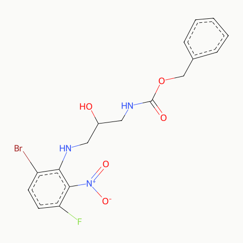 O=C(NCC(O)CNc1c(Br)ccc(F)c1[N+](=O)[O-])OCc1ccccc1